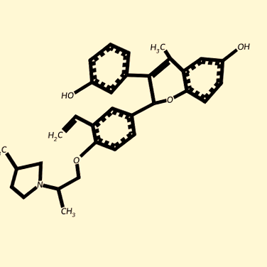 C=Cc1cc(C2Oc3ccc(O)cc3C(C)=C2c2cccc(O)c2)ccc1OCC(C)N1CCC(C)C1